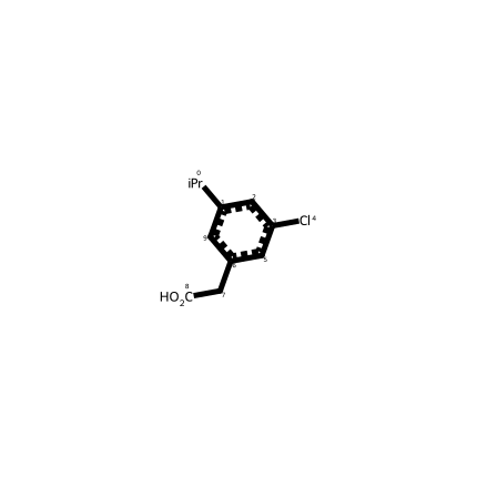 CC(C)c1cc(Cl)cc(CC(=O)O)c1